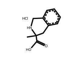 CC1(C(=O)O)Cc2ccccc2CN1.Cl